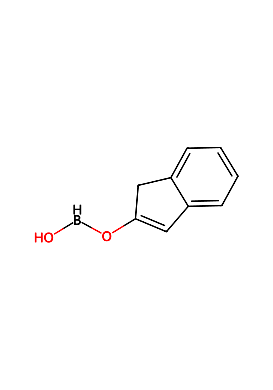 OBOC1=Cc2ccccc2C1